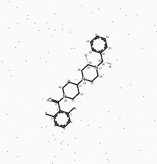 Cc1cccc(C)c1C(=O)N1CCC(N2CCN([C@@H](C)c3ccccc3)[C@@H](C)C2)CC1